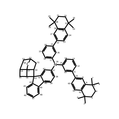 CC1(C)CCC(C)(C)c2cc(-c3cccc(N(c4cccc(-c5ccc6c(c5)C(C)(C)CCC6(C)C)c4)c4ccc5c(c4)C4(c6ccccc6-5)C5CC6CC7CC4C75C6)c3)ccc21